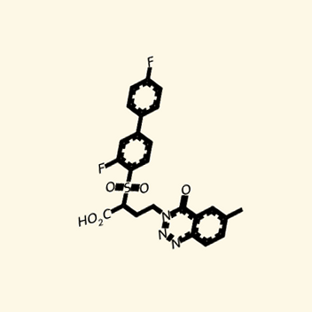 Cc1ccc2nnn(CCC(C(=O)O)S(=O)(=O)c3ccc(-c4ccc(F)cc4)cc3F)c(=O)c2c1